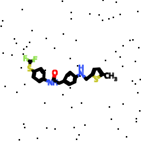 Cc1ccc(CNc2ccc(CC(=O)Nc3ccc(SC(F)F)cc3)cc2)s1